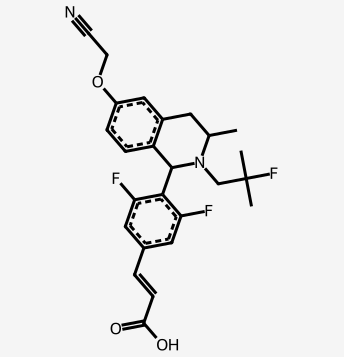 CC1Cc2cc(OCC#N)ccc2C(c2c(F)cc(/C=C/C(=O)O)cc2F)N1CC(C)(C)F